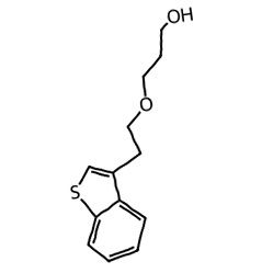 OCCCOCCc1csc2ccccc12